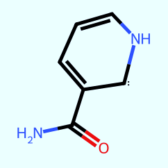 NC(=O)C1=CC=CN[C]1